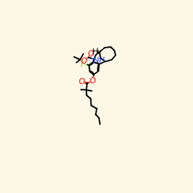 CCCCCCCC(C)(C)C(=O)Oc1cc(F)c2c(c1)C1CCCCC[C@@H](C2)C1NC(=O)OC(C)(C)C